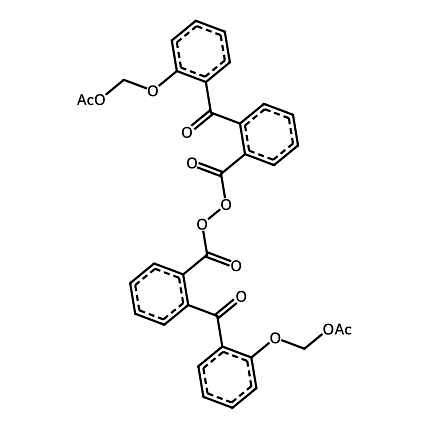 CC(=O)OCOc1ccccc1C(=O)c1ccccc1C(=O)OOC(=O)c1ccccc1C(=O)c1ccccc1OCOC(C)=O